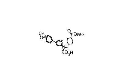 COC(=O)[C@H]1CC[C@H](CN(C(=O)O)c2cc(-c3ccc(OC(F)(F)F)cc3)cs2)CC1